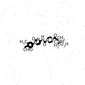 Cc1cc(-n2ccc(NC(=O)N3CCN(C(=O)C(C)(C)NC(=O)O)CC3)nc2=O)ccc1CC=O